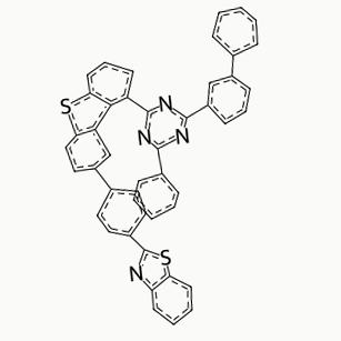 c1ccc(-c2cccc(-c3nc(-c4ccccc4)nc(-c4cccc5sc6ccc(-c7ccc(-c8nc9ccccc9s8)cc7)cc6c45)n3)c2)cc1